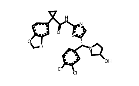 O=C(Nc1ncc([C@@H](c2ccc(Cl)c(Cl)c2)N2CCC(O)C2)s1)C1(c2ccc3c(c2)OCO3)CC1